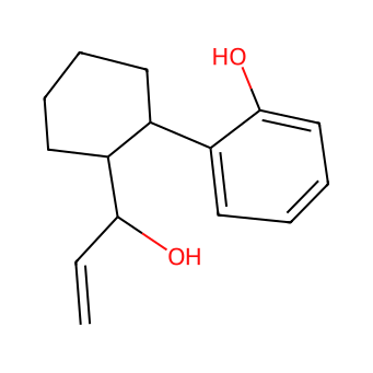 C=CC(O)C1CCCCC1c1ccccc1O